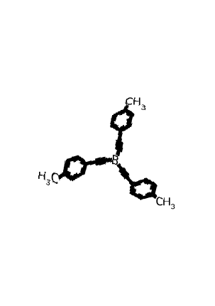 Cc1ccc(C#CB(C#Cc2ccc(C)cc2)C#Cc2ccc(C)cc2)cc1